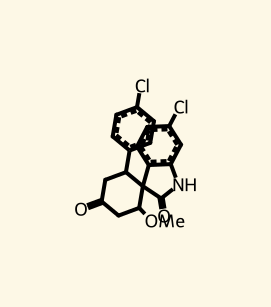 COC1CC(=O)CC(c2ccc(Cl)cc2)C12C(=O)Nc1cc(Cl)ccc12